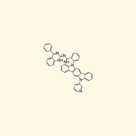 N=C(/N=c1/nc(-c2ccccc2)c2ccccc2[nH]1)c1ccccc1-n1c2ccccc2c2cc3c(cc21)c1ccccc1n3-c1cccnc1